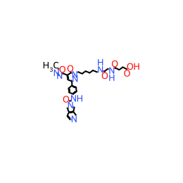 Cc1nnc(-c2cc(-c3ccc(NC(=O)N4Cc5ccncc5C4)cc3)nn(CCCCCCNC(=O)CNC(=O)CCC(=O)O)c2=O)o1